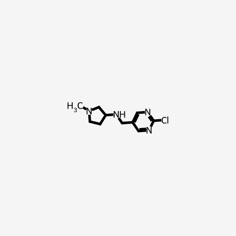 CN1CCC(NCc2cnc(Cl)nc2)C1